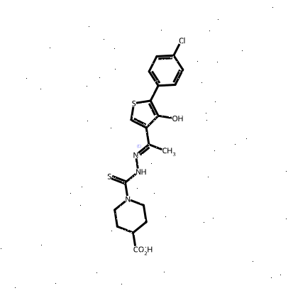 C/C(=N\NC(=S)N1CCC(C(=O)O)CC1)c1csc(-c2ccc(Cl)cc2)c1O